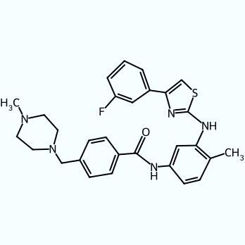 Cc1ccc(NC(=O)c2ccc(CN3CCN(C)CC3)cc2)cc1Nc1nc(-c2cccc(F)c2)cs1